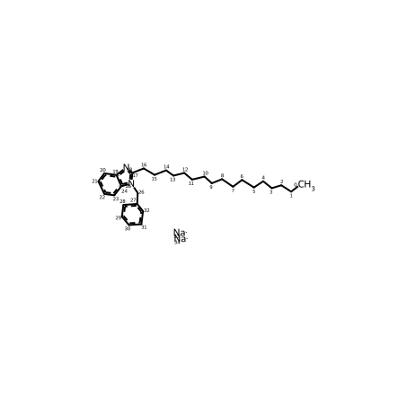 CCCCCCCCCCCCCCCCCc1nc2ccccc2n1Cc1ccccc1.[Na].[Na]